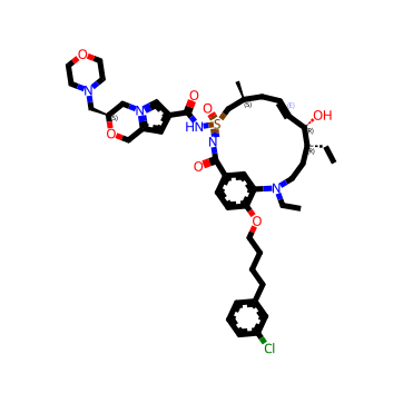 CC[C@@H]1CCN(CC)c2cc(ccc2OCCCCc2cccc(Cl)c2)C(=O)N=S(=O)(NC(=O)c2cc3n(c2)C[C@H](CN2CCOCC2)OC3)C[C@@H](C)C/C=C/[C@@H]1O